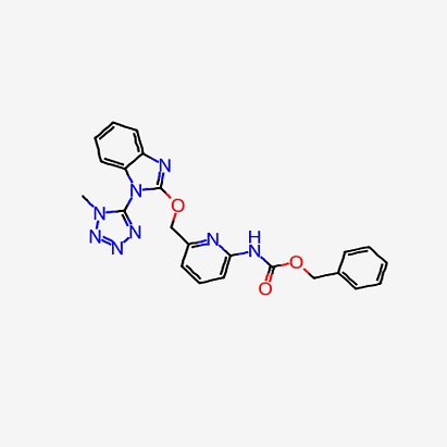 Cn1nnnc1-n1c(OCc2cccc(NC(=O)OCc3ccccc3)n2)nc2ccccc21